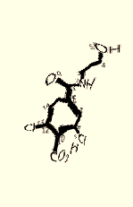 O=C(NCCO)c1cc(Cl)c(C(=O)O)c(Cl)c1